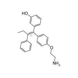 CC/C(=C(/c1ccc(OCCN)cc1)c1cccc(O)c1)c1ccccc1